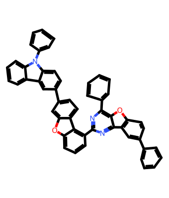 c1ccc(-c2ccc3oc4c(-c5ccccc5)nc(-c5cccc6oc7cc(-c8ccc9c(c8)c8ccccc8n9-c8ccccc8)ccc7c56)nc4c3c2)cc1